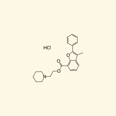 Cc1c(-c2ccccc2)oc2c(C(=O)OCCN3CCCCC3)cccc12.Cl